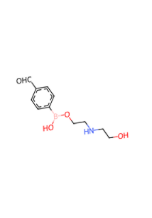 O=Cc1ccc(B(O)OCCNCCO)cc1